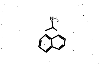 CC(C)N.c1ccc2ccccc2c1